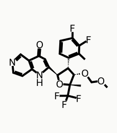 COCO[C@H]1[C@@H](c2ccc(F)c(F)c2C)[C@H](c2cc(=O)c3cnccc3[nH]2)O[C@@]1(C)C(F)(F)F